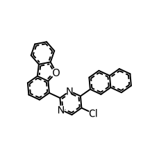 Clc1cnc(-c2cccc3c2oc2ccccc23)nc1-c1ccc2ccccc2c1